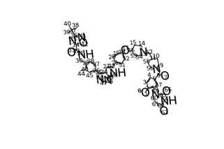 COc1ccc(C(=O)N2CCC(CN3CCC(Oc4ccc(-c5cc6c(-c7ccc(CNC(=O)c8nc(C(C)(C)C)no8)c(C)c7)ncnc6[nH]5)cc4)CC3)CC2)cc1N1CCC(=O)NC1=O